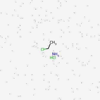 CCCl.Cl.N